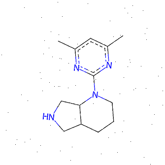 Cc1cc(C)nc(N2CCCC3CNCC32)n1